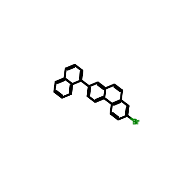 Brc1ccc2c(ccc3cc(-c4cccc5ccccc45)ccc32)c1